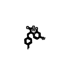 O=C(O)C(Cc1ccc(F)cc1)n1ccc(Br)cc1=O